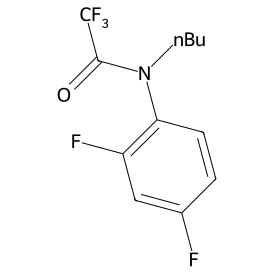 CCCCN(C(=O)C(F)(F)F)c1ccc(F)cc1F